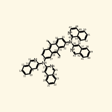 Cc1c2ccc(N(c3cc4ccccc4cn3)c3cc4ccccc4cn3)cc2c(C)c2cc(N(c3cc4ccccc4cn3)c3nccc4ccccc34)ccc12